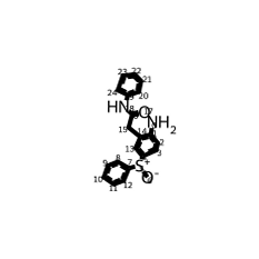 Nc1ccc([S+]([O-])c2ccccc2)cc1CC(=O)Nc1ccccc1